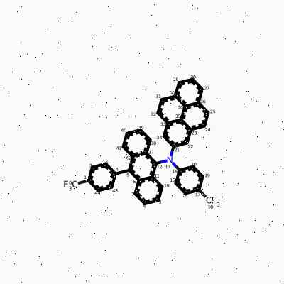 FC(F)(F)c1ccc(-c2c3ccccc3c(N(c3ccc(C(F)(F)F)cc3)c3cc4ccc5cccc6ccc(c3)c4c56)c3ccccc23)cc1